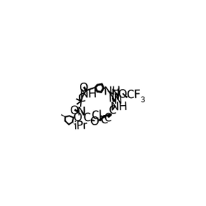 CC(C)[C@@H]1CC[C@@H](C)C[C@H]1OC(=O)N1CCCOc2ccc(cc2Cl)CNc2nc(nc(OCC(F)(F)F)n2)Nc2ccc(cc2)C(=O)NCC(C)(C)C1